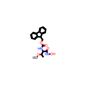 CC(OC(C)(C)C)C(NC(=O)OCC1c2ccccc2-c2ccccc21)C(=O)NO